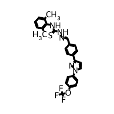 Cc1cccc(C)c1NC(=S)N/N=C/c1ccc(-c2ccn(-c3ccc(OC(F)(F)F)cc3)n2)cc1